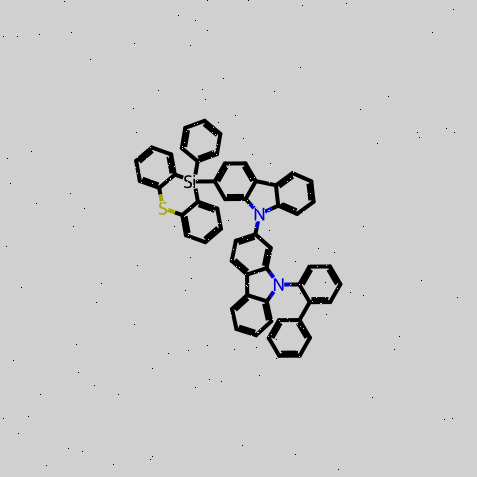 c1ccc(-c2ccccc2-n2c3ccccc3c3ccc(-n4c5ccccc5c5ccc([Si]6(c7ccccc7)c7ccccc7Sc7ccccc76)cc54)cc32)cc1